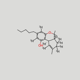 [2H]C1=C(C)C([2H])([2H])C([2H])([2H])[C@@]2([2H])C(C)(C)Oc3c([2H])c(CCCCC)c([2H])c(O)c3[C@]12[2H]